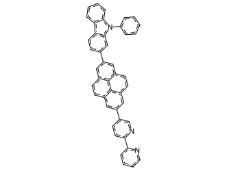 c1ccc(-n2c3ccccc3c3ccc(-c4cc5ccc6cc(-c7ccc(-c8ccccn8)nc7)cc7ccc(c4)c5c67)cc32)cc1